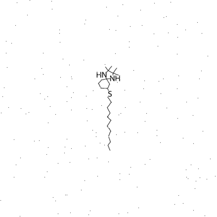 CCCCCCCCCCCCSC1CCCC2(C1)NC(C)(C)C(C)(C)N2